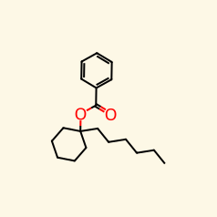 CCCCCCC1(OC(=O)c2ccccc2)CCCCC1